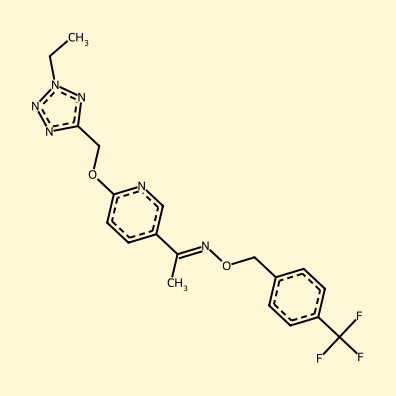 CCn1nnc(COc2ccc(C(C)=NOCc3ccc(C(F)(F)F)cc3)cn2)n1